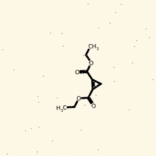 CCOC(=O)C1=C(C(=O)OCC)C1